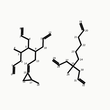 C=CCC(C)C(CC=C)C(CC=C)CC=C1CC1C.C=CCCCCC(C)(CC=C)CC=C